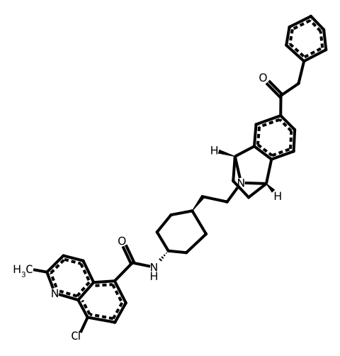 Cc1ccc2c(C(=O)N[C@H]3CC[C@H](CCN4[C@@H]5CC[C@H]4c4ccc(C(=O)Cc6ccccc6)cc45)CC3)ccc(Cl)c2n1